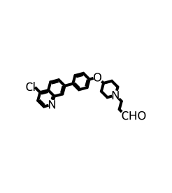 O=CCCN1CCC(Oc2ccc(-c3ccc4c(Cl)ccnc4c3)cc2)CC1